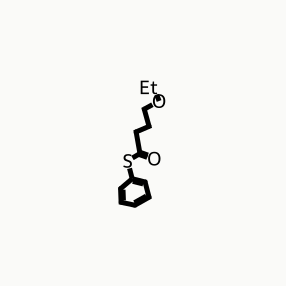 CCOCCCC(=O)Sc1ccccc1